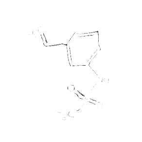 C=Cc1cccc(NS(C)(=O)=O)c1